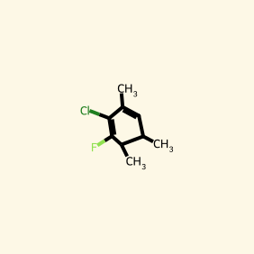 CC1=CC(C)C(C)C(F)=C1Cl